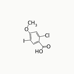 COc1cc(Cl)c(C(=O)O)cc1I